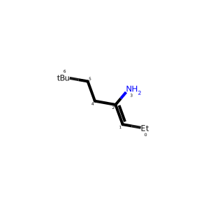 CC/C=C(\N)CCC(C)(C)C